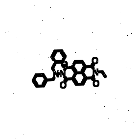 CCN1C(=O)c2ccc3c4c(ccc(c24)C1=O)C(=O)N(N(Cc1ccccc1)Cc1ccccc1)C3=O